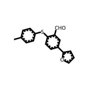 Cc1ccc(Sc2ccc(-c3ccco3)cc2C=O)cc1